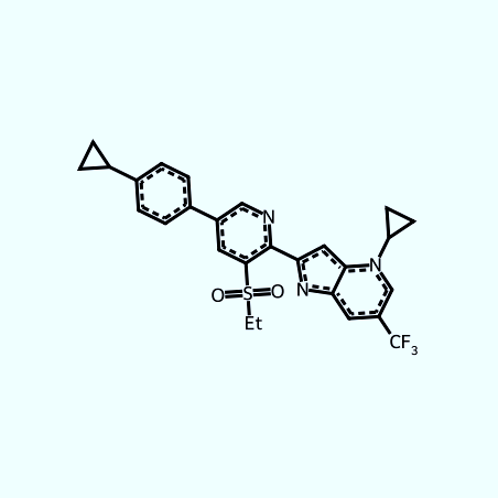 CCS(=O)(=O)c1cc(-c2ccc(C3CC3)cc2)cnc1-c1cc2n(C3CC3)cc(C(F)(F)F)cc-2n1